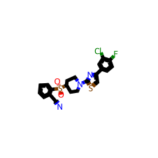 N#Cc1ccccc1S(=O)(=O)C1CCN(c2nc(-c3ccc(F)c(Cl)c3)cs2)CC1